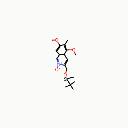 COC1=CC2C=[N+]([O-])C(CO[Si](C)(C)C(C)(C)C)=CC2C(OC)=C1C